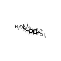 CC(=O)N1CCC2(CCN(CCCC(C)C)CC2)CC1